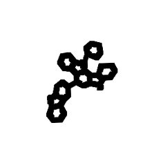 c1ccc(-n2c3ccccc3c3c(-c4ccc5sc6ccccc6c5c4)cc4sc5ccccc5c4c32)cc1